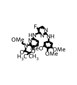 COCN1C(=O)C(C)(C)Oc2ccc(Nc3nc(Nc4cc(OC)c(OC)c(OC)c4)ncc3F)nc21